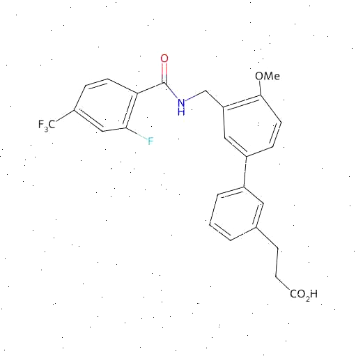 COc1ccc(-c2cccc(CCC(=O)O)c2)cc1CNC(=O)c1ccc(C(F)(F)F)cc1F